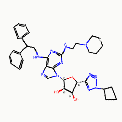 O[C@@H]1[C@H](O)[C@@H](c2nnn(C3CCC3)n2)O[C@H]1n1cnc2c(NCC(c3ccccc3)c3ccccc3)nc(NCCN3CCCCC3)nc21